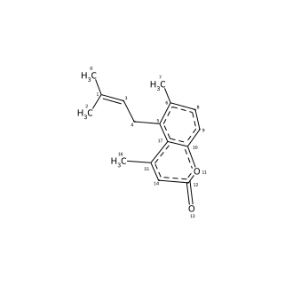 CC(C)=CCc1c(C)ccc2oc(=O)cc(C)c12